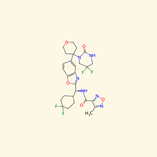 Cc1nonc1C(=O)N[C@H](c1nc2cc(C3(N4CC(F)(F)CNC4=O)CCOCC3)ccc2o1)C1CCC(F)(F)CC1